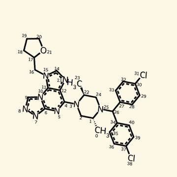 C[C@@H]1CN(c2nc3nncn3c3c2ncn3CC2CCCO2)[C@@H](C)CN1C(c1ccc(Cl)cc1)c1ccc(Cl)cc1